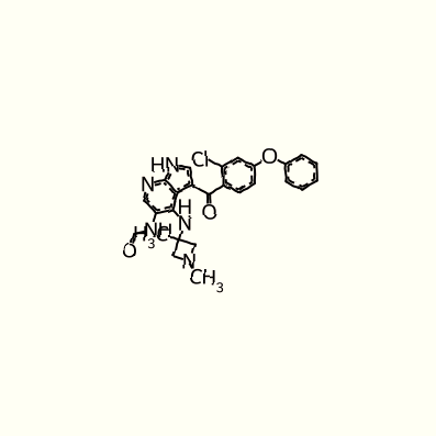 CN1CC(C)(Nc2c(NC=O)cnc3[nH]cc(C(=O)c4ccc(Oc5ccccc5)cc4Cl)c23)C1